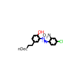 CCCCCCCCCCCCc1ccc(O)c(/N=N/c2ccc(Cl)cc2[N+](=O)[O-])c1